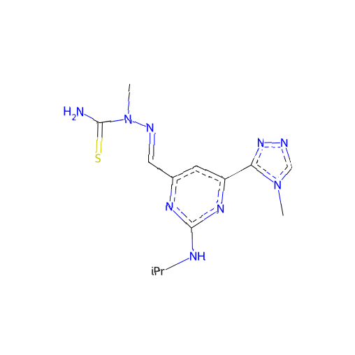 CC(C)Nc1nc(C=NN(C)C(N)=S)cc(-c2nncn2C)n1